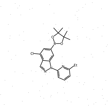 CCc1cccc(-n2ncc3c(Cl)cc(B4OC(C)(C)C(C)(C)O4)cc32)n1